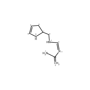 C=C(N)/N=C\NCC1CC=CN1